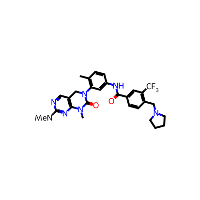 CNc1ncc2c(n1)N(C)C(=O)N(c1cc(NC(=O)c3ccc(CN4CCCC4)c(C(F)(F)F)c3)ccc1C)C2